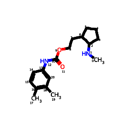 CNC1CCCC1CCOC(=O)Nc1ccc(C)c(C)c1